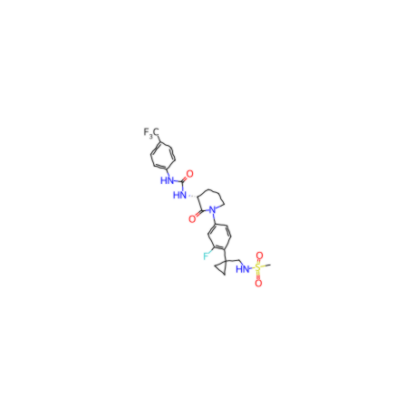 CS(=O)(=O)NCC1(c2ccc(N3CCC[C@@H](NC(=O)Nc4ccc(C(F)(F)F)cc4)C3=O)cc2F)CC1